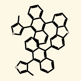 Cc1cocc1-c1c2ccccc2c(-c2ccc3sc4cccc(-c5c6ccccc6c(-c6cocc6C)c6ccccc56)c4c3c2)c2ccccc12